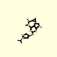 CC(C)n1cc(Nc2nc(N(C)[C@@H](C)C3CC3)c3cc[nH]c3n2)cn1